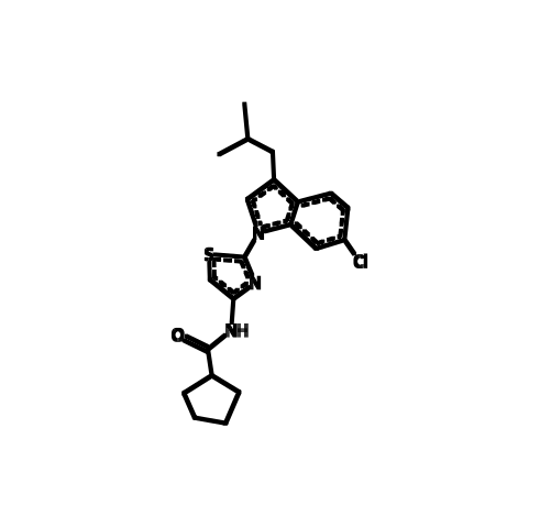 CC(C)Cc1cn(-c2nc(NC(=O)C3CCCC3)cs2)c2cc(Cl)ccc12